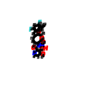 COc1ccnc(C(=O)N[C@H]2CCC[C@H](Cc3ccc(F)cc3F)[C@@H](OCC(C)C)[C@H](C)OC2=O)c1O